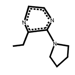 CCc1nccnc1N1CCCC1